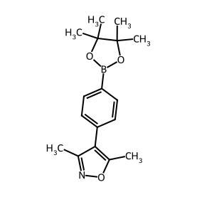 Cc1noc(C)c1-c1ccc(B2OC(C)(C)C(C)(C)O2)cc1